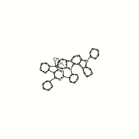 CC1(C)c2ccccc2-c2c(-c3ccccc3)nc(-c3ccccc3-n3c4ccccc4c4ccc5c(c6ccccc6n5-c5ccccc5)c43)nc21